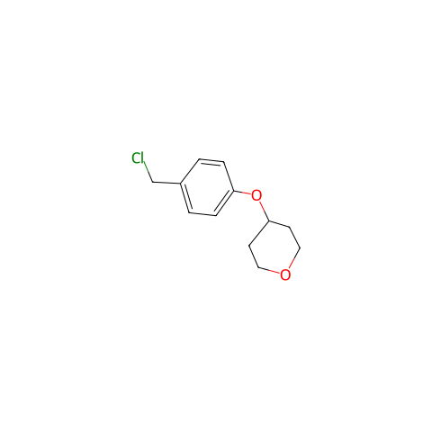 ClCc1ccc(OC2CCOCC2)cc1